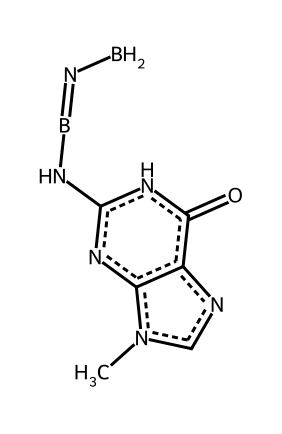 BN=BNc1nc2c(ncn2C)c(=O)[nH]1